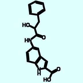 O=C(O)c1cc2cc(NC(=O)C(O)Cc3ccccc3)ccc2[nH]1